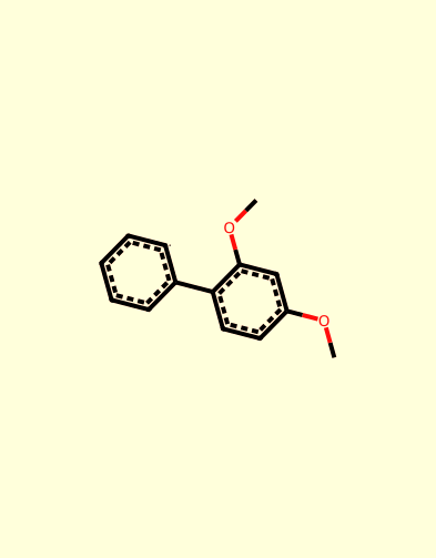 COc1ccc(-c2[c]cccc2)c(OC)c1